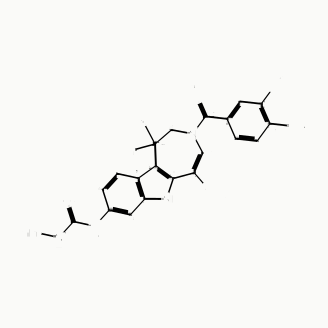 CCCNC(=O)Oc1ccc2c3c([nH]c2c1)C(C(=O)OCC)=CN(C(=O)c1ccc(F)c(F)c1)CC3(C)C